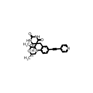 C[C@@H]1CN2c3ccc(C#Cc4ccncc4)cc3CC3(C(=O)NC(=O)NC3=O)[C@H]2[C@H](C)O1